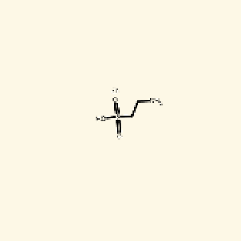 NCCS(=O)(=O)O.[Zn]